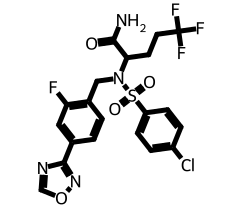 NC(=O)C(CCC(F)(F)F)N(Cc1ccc(-c2ncon2)cc1F)S(=O)(=O)c1ccc(Cl)cc1